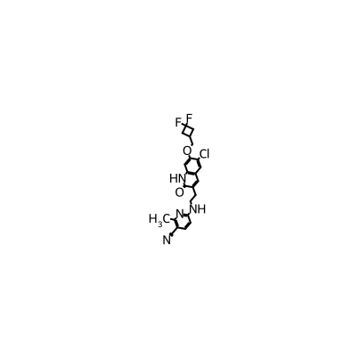 Cc1nc(NCCc2cc3cc(Cl)c(OCC4CC(F)(F)C4)cc3[nH]c2=O)ccc1C#N